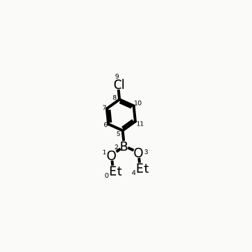 CCOB(OCC)c1ccc(Cl)cc1